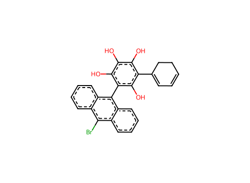 Oc1c(O)c(C2=CC=CCC2)c(O)c(-c2c3ccccc3c(Br)c3ccccc23)c1O